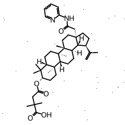 C=C(C)[C@@H]1CC[C@]2(CC(=O)Nc3ccccn3)CC[C@]3(C)[C@H](CC[C@@H]4[C@@]5(C)CC[C@H](OC(=O)CC(C)(C)C(=O)O)C(C)(C)[C@@H]5CC[C@]43C)[C@@H]12